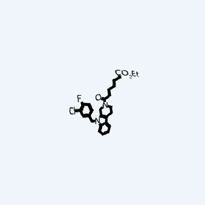 CCOC(=O)CCCCCC(=O)N1CCc2c(n(Cc3ccc(F)c(Cl)c3)c3ccccc23)C1